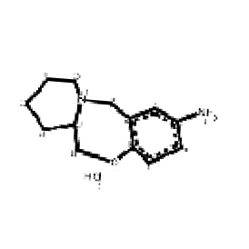 Cl.Nc1ccc2c(c1)CN1CCCCC1CO2